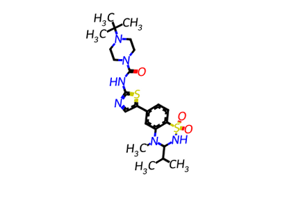 CC(C)C1NS(=O)(=O)c2ccc(-c3cnc(NC(=O)N4CCN(C(C)(C)C)CC4)s3)cc2N1C